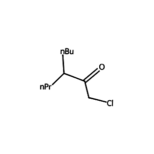 CCCCC(CCC)C(=O)CCl